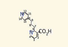 O=C(O)c1cccnc1CCCc1ccncc1